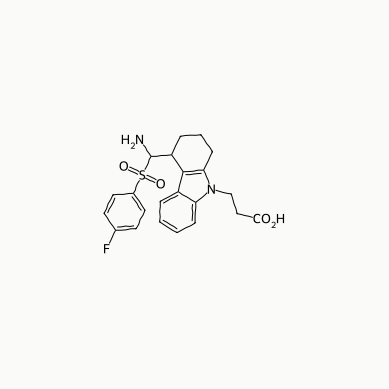 NC(C1CCCc2c1c1ccccc1n2CCC(=O)O)S(=O)(=O)c1ccc(F)cc1